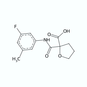 Cc1cc(F)cc(NC(=O)C2(C(=O)O)CCCO2)c1